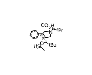 CC(C)[C@H](C(=O)O)N1C[C@H](c2ccccc2)[C@@H](C(O[SiH](C)C)C(C)(C)C)C1